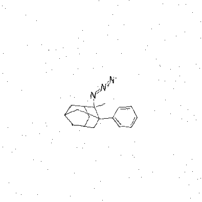 CC1(N=[N+]=[N-])C2CC3CC(C2)CC1(c1ccccc1)C3